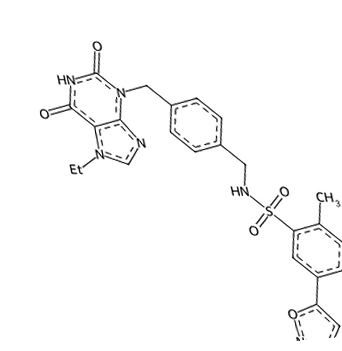 CCn1cnc2c1c(=O)[nH]c(=O)n2Cc1ccc(CNS(=O)(=O)c2cc(-c3ccno3)ccc2C)cc1